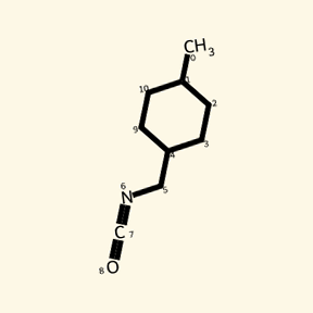 CC1CCC(CN=C=O)CC1